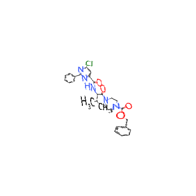 CC(C)C(NC(=O)c1cc(Cl)nc(-c2ccccc2)n1)C(=O)N1CCN(C(=O)OCc2ccccc2)CC1